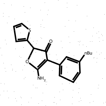 CCCCc1cccc(C2=C(N)OC(c3cccs3)C2=O)c1